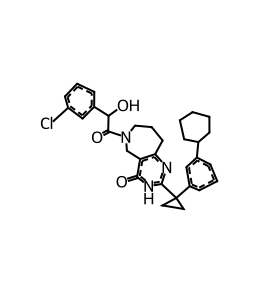 O=C(C(O)c1cccc(Cl)c1)N1CCCc2nc(C3(c4cccc(C5CCCCC5)c4)CC3)[nH]c(=O)c2C1